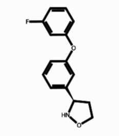 Fc1cccc(Oc2cccc([C@H]3CCON3)c2)c1